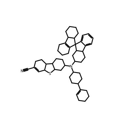 N#CC1=CC2SC3CC(N(C4CCC(C5=CCCCC5)CC4)C4CCC5c6ccccc6C6(C7=C(CCCC7)C7CCCCC76)C5C4)CCC3C2CC1